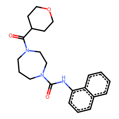 O=C(Nc1cccc2ccccc12)N1CCCN(C(=O)C2CCOCC2)CC1